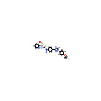 OC[C@H](NC(=S)Nc1ccc(-c2ncn(-c3ccc(OC(F)(F)F)cc3)n2)cc1)c1ccccc1